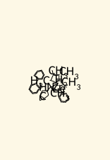 CC1=C(C)C(C)[C]([Zr]([CH3])([NH]C23CC4C(C2)C4C3)[GeH2][c]2ccccc2)=C1C.c1ccc(-c2ccccc2)cc1